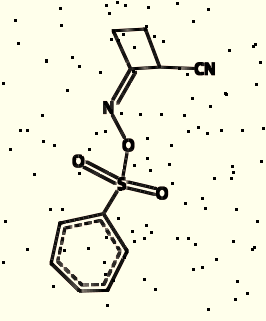 N#CC1CC/C1=N/OS(=O)(=O)c1ccccc1